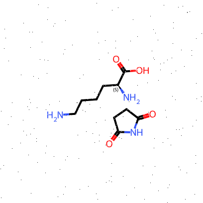 NCCCC[C@H](N)C(=O)O.O=C1CCC(=O)N1